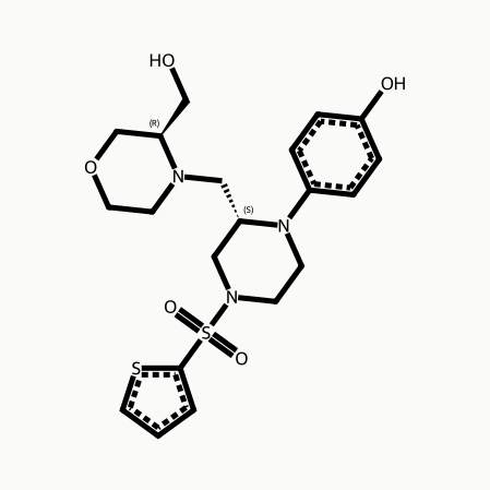 O=S(=O)(c1cccs1)N1CCN(c2ccc(O)cc2)[C@@H](CN2CCOC[C@H]2CO)C1